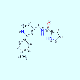 Cc1ccc(-c2cc(CNC(=O)C3CCCN3)ccn2)cc1